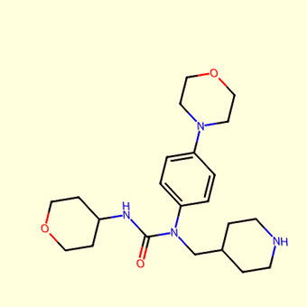 O=C(NC1CCOCC1)N(CC1CCNCC1)c1ccc(N2CCOCC2)cc1